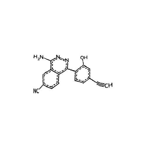 C#Cc1ccc(-c2nnc(N)c3cc(C#N)ccc23)c(O)c1